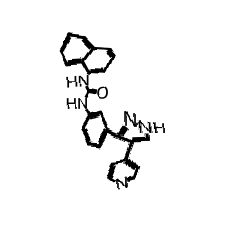 O=C(Nc1cccc(-c2n[nH]cc2-c2ccncc2)c1)Nc1cccc2ccccc12